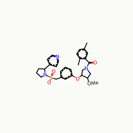 COC1CN(C(=O)c2cc(C)ccc2C)CC1Oc1cccc(CS(=O)(=O)N2CCCC2c2ccncc2)c1